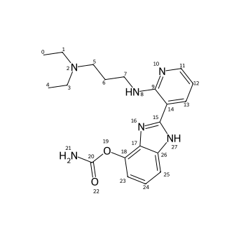 CCN(CC)CCCNc1ncccc1-c1nc2c(OC(N)=O)cccc2[nH]1